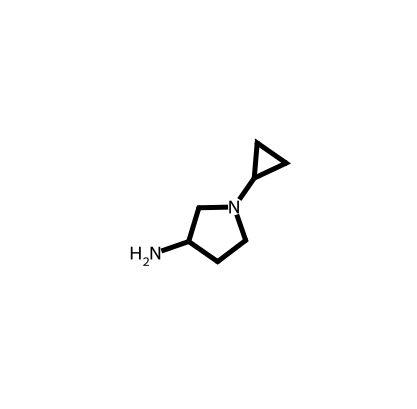 NC1CCN(C2CC2)C1